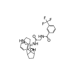 O=C(CNC(=O)c1cccc(C(F)(F)F)c1)N[C@@]1([C@H]2CC3CCC(C2)[C@@]3(O)c2ccccc2)CCNC1